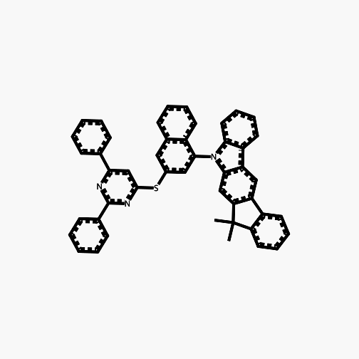 CC1(C)c2ccccc2-c2cc3c4ccccc4n(-c4cc(Sc5cc(-c6ccccc6)nc(-c6ccccc6)n5)cc5ccccc45)c3cc21